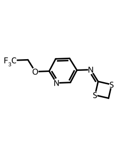 FC(F)(F)COc1ccc(N=C2SCS2)cn1